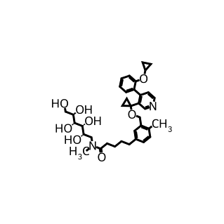 Cc1ccc(CCCCC(=O)N(C)C[C@H](O)[C@@H](O)[C@H](O)[C@H](O)CO)cc1COC1(c2cnccc2-c2ccccc2OC2CC2)CC1